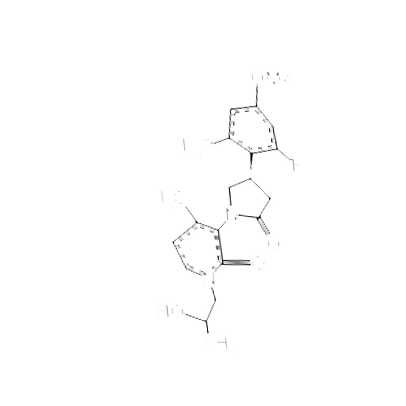 COc1cc(F)c([C@H]2CC(=O)N(c3c(C)ccn(CC(C)O)c3=O)C2)c(P)c1